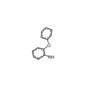 [NH]c1ccccc1Oc1ccccc1